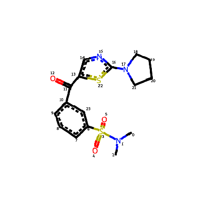 CN(C)S(=O)(=O)c1cccc(C(=O)c2cnc(N3CCCC3)s2)c1